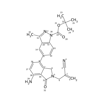 C=C(C#N)CN1Cc2c(-c3ccc4c(c3)c(C)nn4C(=O)OC(C)(C)C)ccc(N)c2C1=O